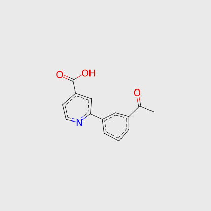 CC(=O)c1cccc(-c2cc(C(=O)O)ccn2)c1